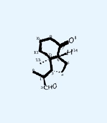 C[C@H](C=O)[C@H]1CC[C@H]2C(=O)CCC[C@]12C